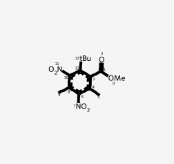 COC(=O)c1c(C)c([N+](=O)[O-])c(C)c([N+](=O)[O-])c1C(C)(C)C